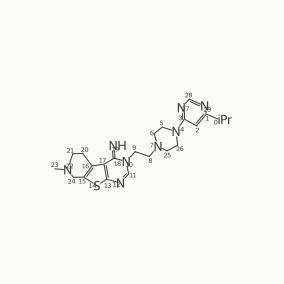 CC(C)c1cc(N2CCN(CCn3cnc4sc5c(c4c3=N)CCN(C)C5)CC2)ncn1